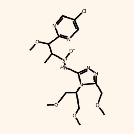 COCc1nnc(N[S+]([O-])C(C)C(OC)c2ncc(Cl)cn2)n1C(COC)COC